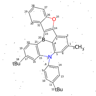 Cc1cc2c3c(c1)N(c1ccc(C(C)(C)C)cc1)c1cc(C(C)(C)C)ccc1B3c1c-2oc2ccccc12